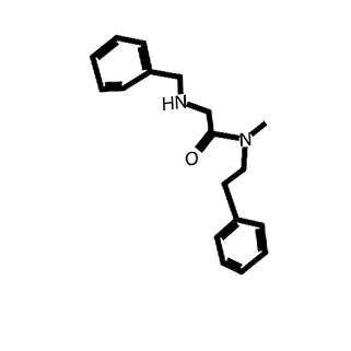 CN(CCc1ccccc1)C(=O)CNCc1ccccc1